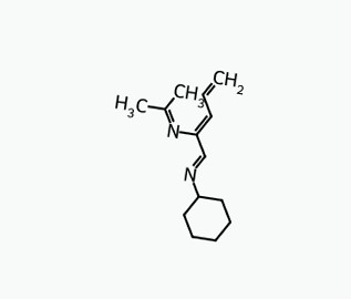 C=C/C=C(/C=N/C1CCCCC1)N=C(C)C